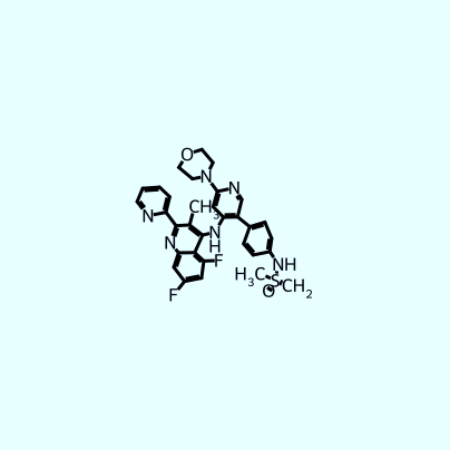 C=S(C)(=O)Nc1ccc(-c2cnc(N3CCOCC3)cc2Nc2c(C)c(-c3ccccn3)nc3cc(F)cc(F)c23)cc1